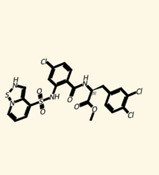 COC(=O)[C@H](Cc1ccc(Cl)c(Cl)c1)NC(=O)c1ccc(Cl)cc1NS(=O)(=O)C1=CC=CN2SNC=C12